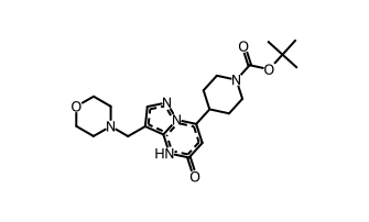 CC(C)(C)OC(=O)N1CCC(c2cc(=O)[nH]c3c(CN4CCOCC4)cnn23)CC1